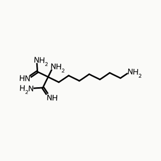 N=C(N)C(N)(CCCCCCCN)C(=N)N